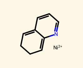 C1=c2cccnc2=CCC1.[Ni+2]